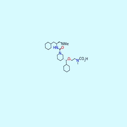 CNC[C@H](CC1CCCCC1)NC(=O)N1CCC[C@@H](C(OCCN(C)C(=O)O)C2CCCCC2)C1